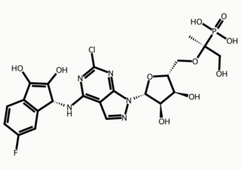 C[C@](CO)(OC[C@H]1O[C@@H](n2ncc3c(N[C@H]4C(O)=C(O)c5ccc(F)cc54)nc(Cl)nc32)[C@H](O)[C@@H]1O)P(=O)(O)O